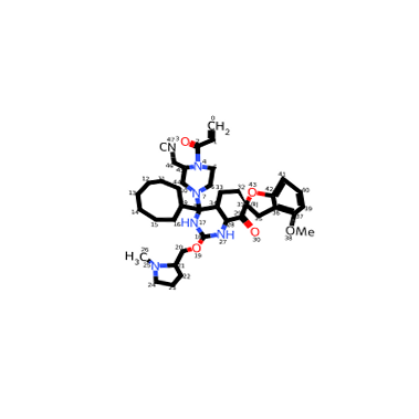 C=CC(=O)N1CCN(C2(C3CCCCCCC3)NC(OCC3CCCN3C)NC3C(=O)[C@@]4(CCC32)Cc2c(OC)cccc2O4)CC1CC#N